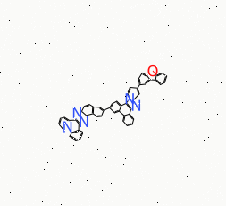 c1ccc(-c2nc3c(ccc4cc(-c5ccc6c(c5)c5ccccc5c5nc7cc(-c8ccc9oc%10ccccc%10c9c8)ccn7c65)ccc43)nc2-c2ccccn2)cc1